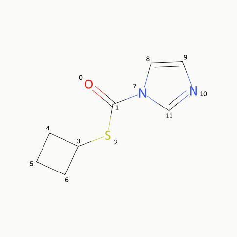 O=C(SC1CCC1)n1ccnc1